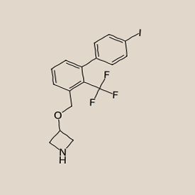 FC(F)(F)c1c(COC2CNC2)cccc1-c1ccc(I)cc1